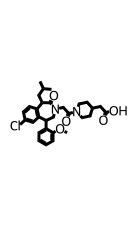 COc1ccccc1C1CN(CC(=O)N2CCC(CC(=O)O)CC2)C(=O)C(CC(C)C)c2ccc(Cl)cc21